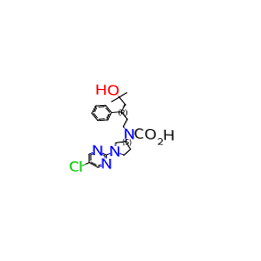 CC(C)(O)C[C@@H](CCN(C(=O)O)[C@H]1CCN(c2ncc(Cl)cn2)C1)c1ccccc1